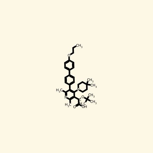 CCCOc1ccc(-c2ccc(-c3c(C)nc(C)c([C@H](OC(C)(C)C)C(=O)O)c3N3CCC(C)(C)CC3)cc2)cc1